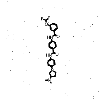 CN(C)C1CCN(c2ccc(NC(=O)c3ccc(NC(=O)c4cccc(OC(F)F)c4)cc3)cc2)C1